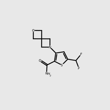 NC(=O)c1sc(C(F)F)cc1N1CC2(COC2)C1